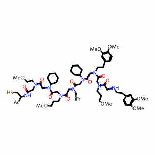 COCCCN(CC(=O)N(CCc1ccc(OC)c(OC)c1)CC(=O)N(CC(=O)N(CC(=O)N(CCCOC)CC(=O)N(CC(=O)N(CCOC)CC(=O)NC(CS)C(C)=O)C1CCCCC1)CC(C)C)C1CCCCC1)C(=O)CNCCc1ccc(OC)c(OC)c1